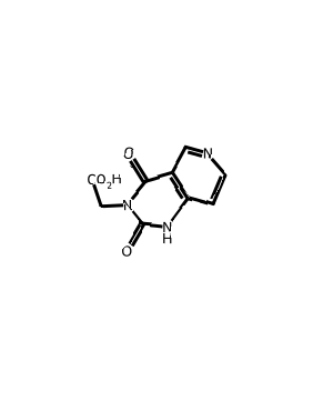 O=C(O)Cn1c(=O)[nH]c2ccncc2c1=O